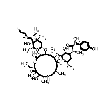 CCCNC[C@]1(O)[C@H](C)O[C@@H](O[C@H]2[C@H](C)[C@@H](O[C@@H]3O[C@H](C)C[C@H](N(C)C(=O)N(C)c4ccc(O)cc4)[C@H]3O)[C@](C)(O)C[C@@H](C)CN[C@H](C)[C@@H](O)[C@](C)(O)[C@@H](CC)OC(=O)[C@@H]2C)C[C@@]1(C)OC